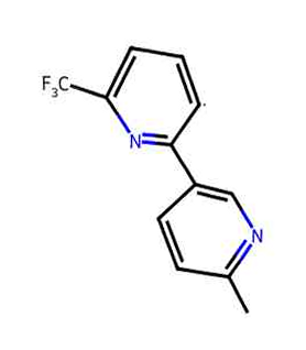 Cc1ccc(-c2[c]ccc(C(F)(F)F)n2)cn1